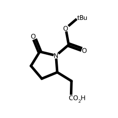 CC(C)(C)OC(=O)N1C(=O)CCC1CC(=O)O